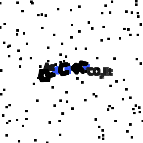 CCOC(=O)N1CCC2(CC(N3CCC(N(Cc4ccccc4)C(C)=O)CC3)C2)C1